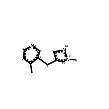 Cc1ccncc1Cc1cnn(C)c1